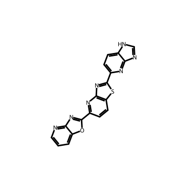 c1cnc2nc(-c3ccc4sc(-c5ccc6[nH]cnc6n5)nc4n3)oc2c1